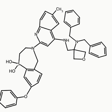 Cc1ccc2nc(N3CCS(O)(O)c4cc(Oc5ccccc5)ccc4C3)cc(NCC3(N(Cc4ccccc4)Cc4ccccc4)COC3)c2c1